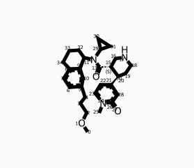 COCCCc1ccc2c(c1)C(N(C(=O)[C@@H]1CNCC[C@H]1c1ccn(C)c(=O)c1)C1CC1)CCC2